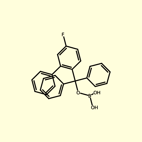 OB(O)OC(c1ccccc1)(c1ccccc1)c1ccc(F)cc1-c1ccccc1